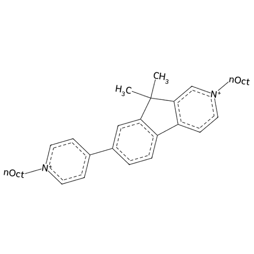 CCCCCCCC[n+]1ccc(-c2ccc3c(c2)C(C)(C)c2c[n+](CCCCCCCC)ccc2-3)cc1